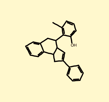 Cc1cccc(O)c1C1Cc2ccccc2C2CC(c3ccccc3)=CC21